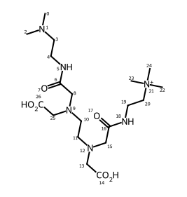 CN(C)CCNC(=O)CN(CCN(CC(=O)O)CC(=O)NCC[N+](C)(C)C)CC(=O)O